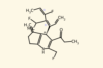 C=C/C(=C(\C(F)=C/C)C(C)F)[C@@H]1C2=C(CCC2=C)NC(CF)=C1C(=O)CC